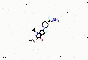 NCC(F)=C1CCCN(c2cc3c(cc2F)c(=O)c(C(=O)O)cn3C2CC2)CC1